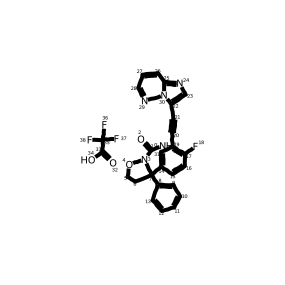 NC(=O)N1OCCC1(c1ccccc1)c1ccc(F)c(C#Cc2cnc3cccnn23)c1.O=C(O)C(F)(F)F